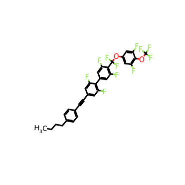 CCCCc1ccc(C#Cc2cc(F)c(-c3cc(F)c(C(F)(F)Oc4cc(F)c(OC(F)(F)F)c(F)c4)c(F)c3)c(F)c2)cc1